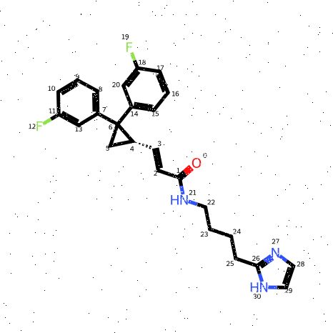 O=C(/C=C/[C@@H]1CC1(c1cccc(F)c1)c1cccc(F)c1)NCCCCc1ncc[nH]1